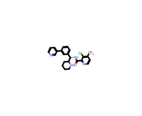 O=C(N[C@@H](c1cccc(-c2cccnc2)c1)C1CCCCN1)c1nccc(C(F)(F)F)c1Cl